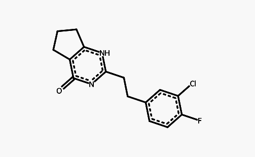 O=c1nc(CCc2ccc(F)c(Cl)c2)[nH]c2c1CCC2